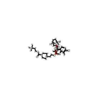 CC(C)(C)OC(=O)N1[C@@H]2CC[C@H]1CN(c1nc(OCCN3CCN(C(=O)OCC[Si](C)(C)C)CC3)nc3c(F)c(Cl)ncc13)C2